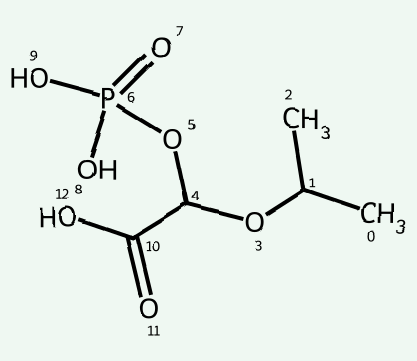 CC(C)OC(OP(=O)(O)O)C(=O)O